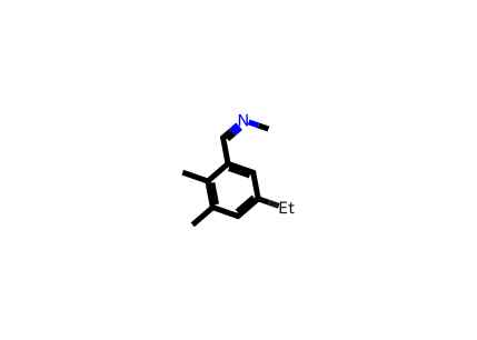 CCc1cc(C)c(C)c(/C=N\C)c1